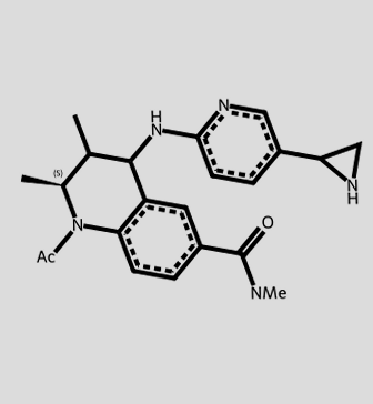 CNC(=O)c1ccc2c(c1)C(Nc1ccc(C3CN3)cn1)C(C)[C@H](C)N2C(C)=O